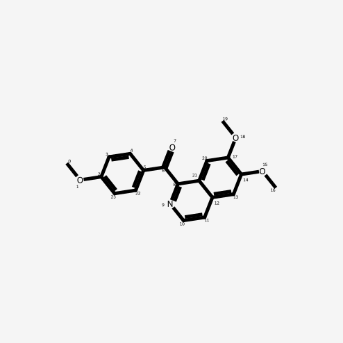 COc1ccc(C(=O)c2nccc3cc(OC)c(OC)cc23)cc1